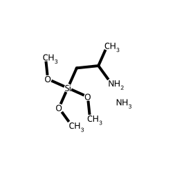 CO[Si](CC(C)N)(OC)OC.N